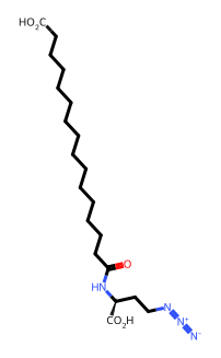 [N-]=[N+]=NCC[C@H](NC(=O)CCCCCCCCCCCCCCC(=O)O)C(=O)O